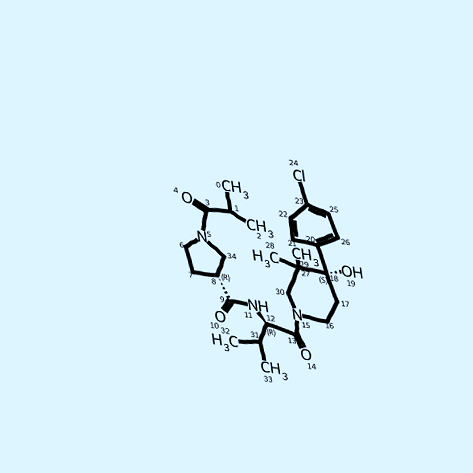 CC(C)C(=O)N1CC[C@@H](C(=O)N[C@@H](C(=O)N2CC[C@](O)(c3ccc(Cl)cc3)C(C)(C)C2)C(C)C)C1